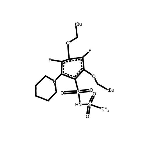 CC(C)(C)COc1c(F)c(OCC(C)(C)C)c(S(=O)(=O)NS(=O)(=O)C(F)(F)F)c(N2CCCCC2)c1F